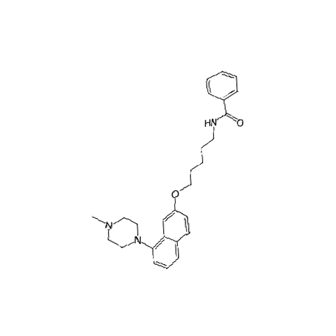 CN1CCN(c2cccc3ccc(OCCCCCNC(=O)c4ccccc4)cc23)CC1